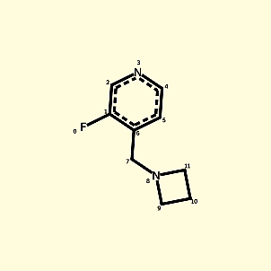 Fc1cnccc1CN1CCC1